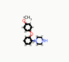 COc1ccc(Oc2ccccc2N2CCNCC2)cc1